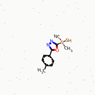 Cc1ccc(-c2nnc(S(C)(S)C#N)o2)cc1